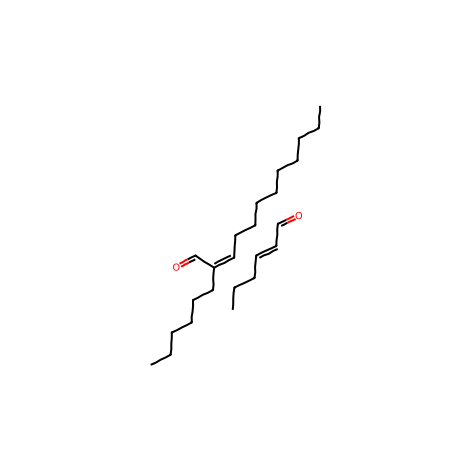 CCCC=CC=O.CCCCCCCCCC=C(C=O)CCCCCC